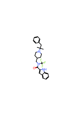 CC(C)(Cc1ccccc1)N1CCC(CN(C(=O)c2cc3ccccc3[nH]2)C(F)(F)F)CC1